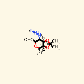 CC[C@H]1OC(C=O)[C@@H](N=[N+]=[N-])[C@H]2OC(C)(C)O[C@H]21